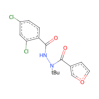 CC(C)(C)N(NC(=O)c1ccc(Cl)cc1Cl)C(=O)c1ccoc1